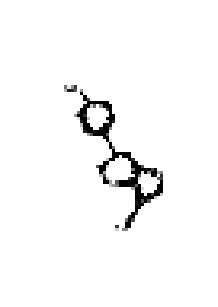 CCCCCc1ccc(-c2ccc3c(Br)csc3c2)cc1